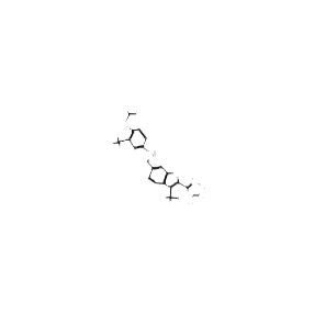 FC(F)Oc1ccc(NCc2ccc3c(C(F)(F)F)c(-c4nnn[nH]4)oc3c2)cc1C(F)(F)F